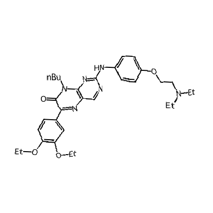 CCCCn1c(=O)c(-c2ccc(OCC)c(OCC)c2)nc2cnc(Nc3ccc(OCCN(CC)CC)cc3)nc21